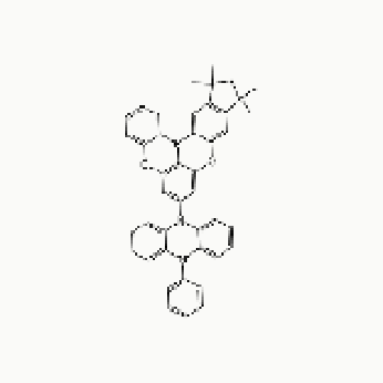 CC1(C)CC(C)(C)c2cc3c(cc21)Oc1cc(N2c4ccccc4N(c4ccccc4)c4ccccc42)cc2c1B3c1ccccc1O2